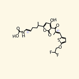 C/C(=C\c1ccc(OCC(F)F)s1)C(=O)c1c(O)cc(C(C)CC/C=C/NC(=O)O)oc1=O